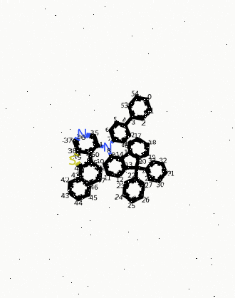 c1ccc(-c2ccc(N(c3cccc4c3-c3ccccc3C4(c3ccccc3)c3ccccc3)c3cncc4sc5c6ccccc6ccc5c34)cc2)cc1